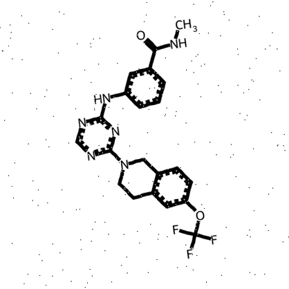 CNC(=O)c1cccc(Nc2ncnc(N3CCc4cc(OC(F)(F)F)ccc4C3)n2)c1